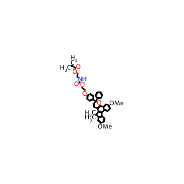 C=C(C)C(=O)OCCNC(=O)OCCOc1ccc(C2(c3ccccc3)C=Cc3c4c(c5ccc(OC)cc5c3O2)-c2ccc(OC)cc2C4(C)C)cc1